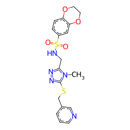 Cn1c(CNS(=O)(=O)c2ccc3c(c2)OCCO3)nnc1SCc1cccnc1